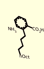 CCCCCCCCCCCCc1ccccc1C(=O)O.N